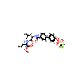 CCCC(NC(=O)[C@H](CC(C)C)NC(=O)c1ccc(-c2ccc(OS(=O)(=O)C(F)(F)F)cc2)cc1)C(=O)OC